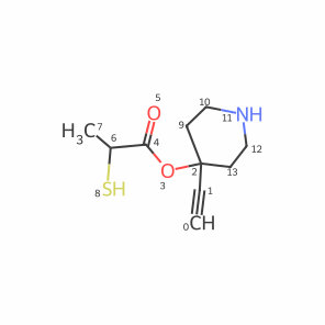 C#CC1(OC(=O)C(C)S)CCNCC1